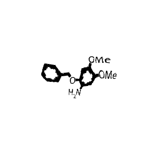 COc1cc(N)c(OCc2ccccc2)cc1OC